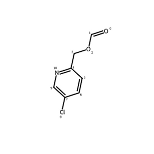 O=COCc1ccc(Cl)cn1